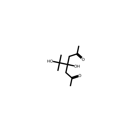 CC(=O)CC(O)(CC(C)=O)C(C)(C)O